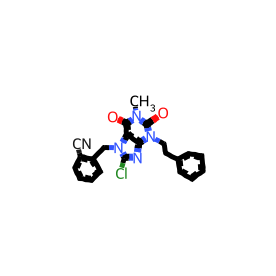 Cn1c(=O)c2c(nc(Cl)n2Cc2ccccc2C#N)n(CCc2ccccc2)c1=O